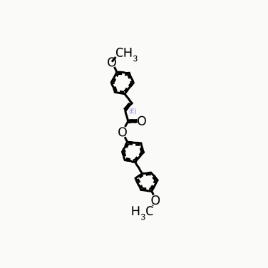 COc1ccc(/C=C/C(=O)Oc2ccc(-c3ccc(OC)cc3)cc2)cc1